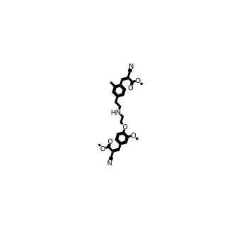 COC(=O)C(C#N)=Cc1ccc(OCCNCCc2ccc(C=C(C#N)C(=O)OC)c(C)c2)c(OC)c1